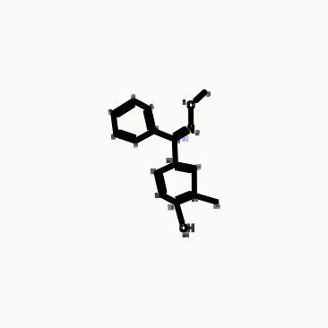 CO/N=C(\c1ccccc1)c1ccc(O)c(C)c1